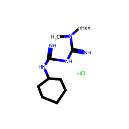 CCCCCCN(C)C(=N)NC(=N)NC1CCCCC1.Cl